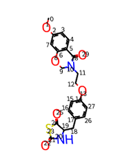 COc1ccc2c(c1)OCN(CCOc1ccc(CC3NC(=O)SC3=O)cc1)C2=O